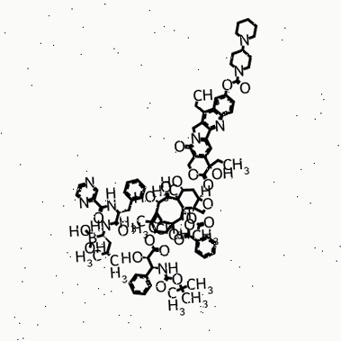 CC(=O)O[C@@]12CO[C@@H]1C[C@H](O)[C@@]1(C)C(=O)[C@H](O)C3=C(C)[C@@H](OC(=O)[C@H](O)[C@@H](NC(=O)OC(C)(C)C)c4ccccc4)C[C@@](O)([C@@H](OC(=O)c4ccccc4)[C@H]21)C3(C)C.CC(C)C[C@H](NC(=O)[C@H](Cc1ccccc1)NC(=O)c1cnccn1)B(O)O.CCc1c2c(nc3ccc(OC(=O)N4CCC(N5CCCCC5)CC4)cc13)-c1cc3c(c(=O)n1C2)COC(=O)[C@]3(O)CC